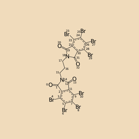 O=C1c2c(Br)c(Br)c(Br)c(Br)c2C(=O)N1CCCN1C(=O)c2c(Br)c(Br)c(Br)c(Br)c2C1=O